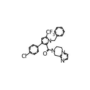 O=C(c1c(-c2ccc(Cl)cc2)cc(C(F)(F)F)n1Cc1ccccc1)N1CCn2ccnc2C1